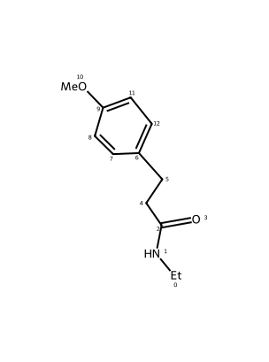 [CH2]CNC(=O)CCc1ccc(OC)cc1